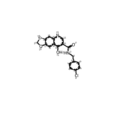 O=C(NCc1ccc(Cl)cc1)c1cnc2cc3c(cc2c1O)OCO3